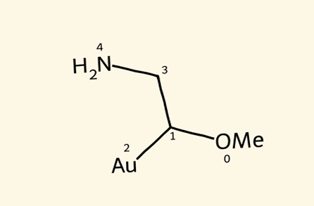 CO[CH]([Au])CN